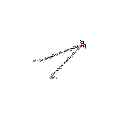 COCCOCCOCCOCCOCCOCCOCCOCCOCCOCCOCCOCCCC1(CCCOCCOCCOCCOCCOCCOCCOCCOCCOCCOCCOCCOC)c2cc(C)ccc2-c2ccc(C)cc21